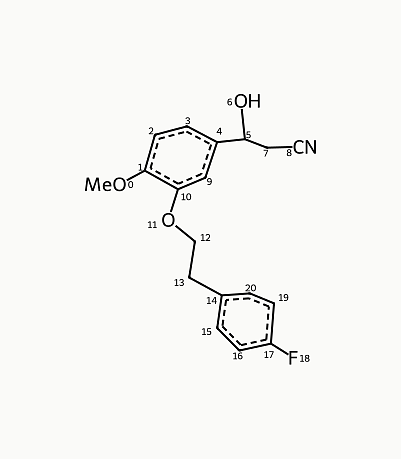 COc1ccc(C(O)CC#N)cc1OCCc1ccc(F)cc1